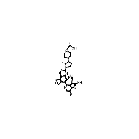 C[C@H](O)CN1CCN([C@H]2CCN(c3ncc4c5c(c(-c6ncc(F)c7sc(N)c(C#N)c67)c(F)c4n3)COC5)[C@H]2C)CC1